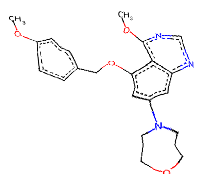 COc1ccc(COc2cc(N3CCOCC3)cc3ncnc(OC)c23)cc1